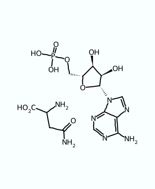 NC(=O)CC(N)C(=O)O.Nc1ncnc2c1ncn2[C@@H]1O[C@H](COP(=O)(O)O)[C@@H](O)[C@H]1O